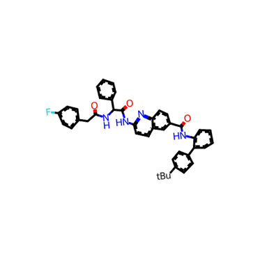 CC(C)(C)c1ccc(-c2ccccc2NC(=O)c2ccc3nc(NC(=O)C(NC(=O)Cc4ccc(F)cc4)c4ccccc4)ccc3c2)cc1